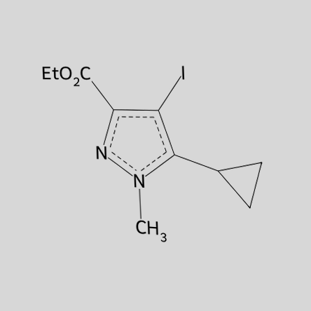 CCOC(=O)c1nn(C)c(C2CC2)c1I